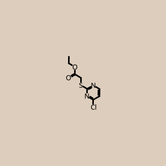 CCOC(=O)CSc1nccc(Cl)n1